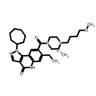 CCc1cc2[nH]c(=O)c3cnn(C4CCCCCC4)c3c2cc1C(=O)N1CCN(CCCCOC)[C@H](C)C1